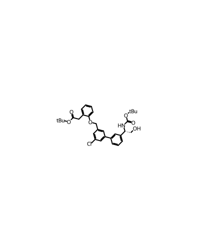 CC(C)(C)OC(=O)Cc1ccccc1OCc1cc(Cl)cc(-c2cccc([C@@H](CO)NC(=O)OC(C)(C)C)c2)c1